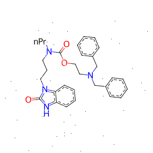 CCCN(CCCn1c(=O)[nH]c2ccccc21)C(=O)OCCN(Cc1ccccc1)Cc1ccccc1